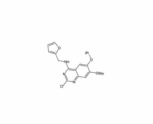 COc1cc2nc(Cl)nc(NCc3ccco3)c2cc1OC(C)C